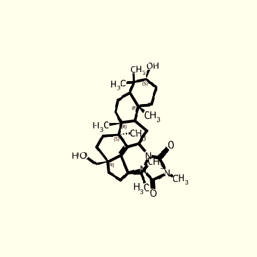 CC(C)C12CC[C@]3(CO)CC[C@]4(C)C(=C13)C(CC1[C@@]3(C)CC[C@H](O)C(C)(C)C3CC[C@]14C)n1c(=O)n(C)c(=O)n12